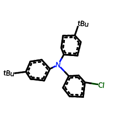 CC(C)(C)c1ccc(N(c2ccc(C(C)(C)C)cc2)c2cccc(Cl)c2)cc1